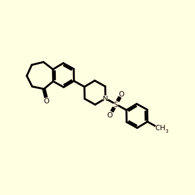 Cc1ccc(S(=O)(=O)N2CCC(c3ccc4c(c3)C(=O)CCCC4)CC2)cc1